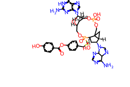 CO[C@H]1[C@H]2OP(=O)(O)OCC34C[C@@H]3[C@@H](N3C=NC5C(N)=NC=NC53)[C@H](O)[C@@H]4P(=O)(SCc3ccc(OC(=O)c4ccc(O)cc4)cc3)OC[C@H]1O[C@H]2n1cnc2c(=O)[nH]c(N)nc21